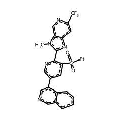 CCS(=O)(=O)c1cc(-c2cncc3ccccc23)cnc1-c1nc2cc(C(F)(F)F)ncc2n1C